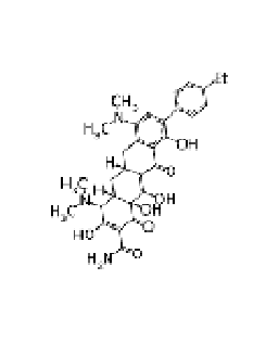 CCc1ccc(-c2cc(N(C)C)c3c(c2O)C(=O)C2=C(O)[C@]4(O)C(=O)C(C(N)=O)=C(O)[C@@H](N(C)C)[C@@H]4C[C@@H]2C3)cc1